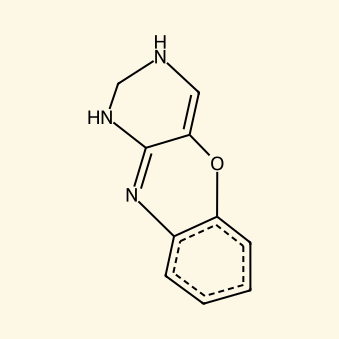 C1=C2Oc3ccccc3N=C2NCN1